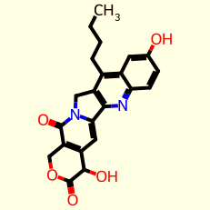 CCCCc1c2c(nc3ccc(O)cc13)-c1cc3c(c(=O)n1C2)COC(=O)C3O